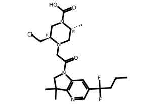 CCCC(F)(F)c1cnc2c(c1)N(C(=O)CN1C[C@@H](C)N(C(=O)O)C[C@@H]1CCl)CC2(C)C